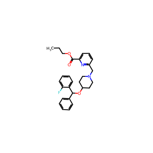 CCCOC(=O)c1cccc(CN2CCC(OC(c3ccccc3)c3ccccc3F)CC2)n1